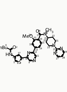 CCCCC(=O)Nc1csc(-c2cncc(-c3ccc(C(=O)N(C)C4CCN(c5ncccn5)CC4)c(OC)c3)n2)c1